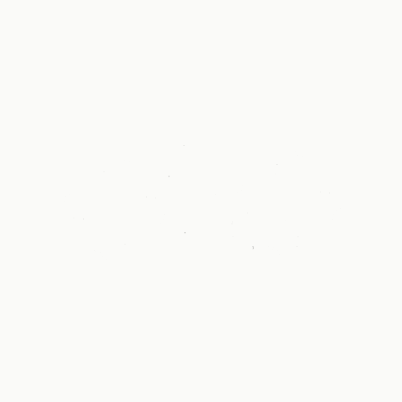 OC1(c2ccc(C(c3ccccc3)(c3ccccc3)c3ccccc3)cc2)c2ccc(Br)cc2C(O)(c2ccc(C(c3ccccc3)(c3ccccc3)c3ccccc3)cc2)c2cc(Br)ccc21